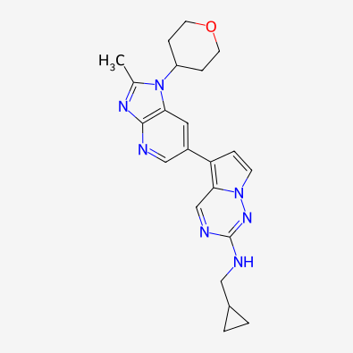 Cc1nc2ncc(-c3ccn4nc(NCC5CC5)ncc34)cc2n1C1CCOCC1